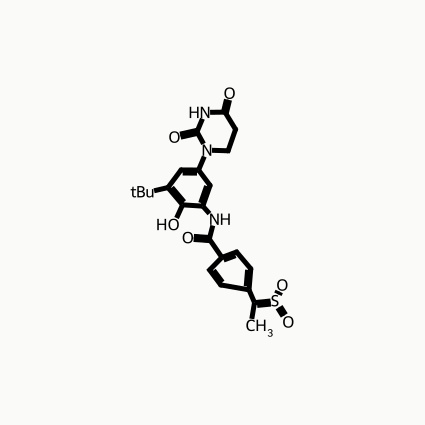 CC(c1ccc(C(=O)Nc2cc(N3CCC(=O)NC3=O)cc(C(C)(C)C)c2O)cc1)=S(=O)=O